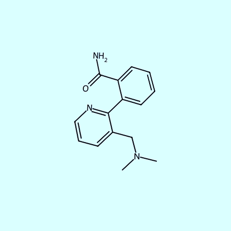 CN(C)Cc1cccnc1-c1ccccc1C(N)=O